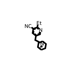 CCc1ncc(CN2CC3CCC2CC3)cc1C#N